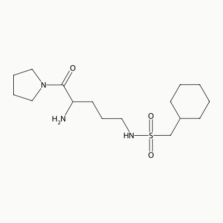 NC(CCCNS(=O)(=O)CC1CCCCC1)C(=O)N1CCCC1